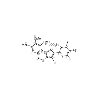 CCOC(=O)c1c(-c2cc(C)c(O)c(C)c2)c(C)n2c1-c1c(cc(OC)c(OC)c1OC)CC2